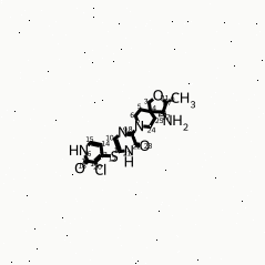 C[C@@H]1OCC2(CCN(c3ncc(Sc4cc[nH]c(=O)c4Cl)[nH]c3=O)CC2)[C@@H]1N